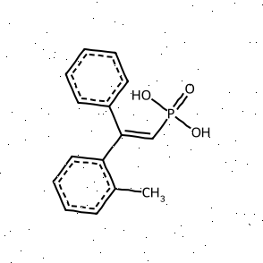 Cc1ccccc1C(=CP(=O)(O)O)c1ccccc1